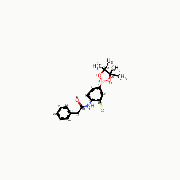 CC1(C)OB(c2ccc(NC(=O)Cc3ccccc3)c(F)c2)OC1(C)C